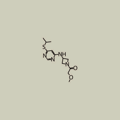 COCC(=O)N1CC(Nc2cc(SC(C)C)ncn2)C1